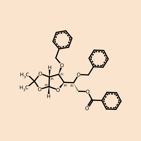 CC1(C)O[C@H]2O[C@H]([C@@H](COC(=O)c3ccccc3)OCc3ccccc3)[C@H](OCc3ccccc3)[C@H]2O1